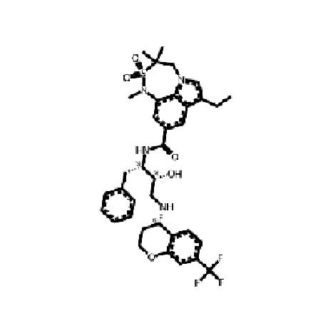 CCc1cn2c3c(cc(C(=O)N[C@@H](Cc4ccccc4)[C@H](O)CN[C@H]4CCOc5cc(C(F)(F)F)ccc54)cc13)N(C)S(=O)(=O)C(C)(C)C2